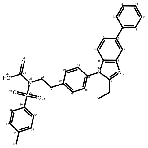 CCc1nc2cc(-c3ccccc3)ccc2n1-c1ccc(CCN(C(=O)O)S(=O)(=O)c2ccc(C)cc2)cc1